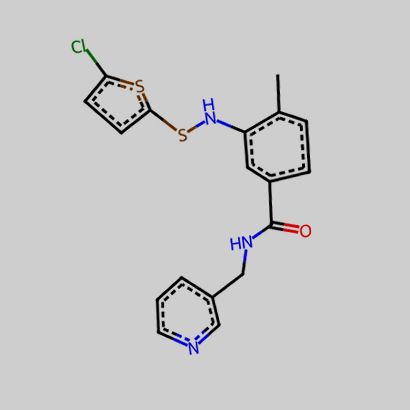 Cc1ccc(C(=O)NCc2cccnc2)cc1NSc1ccc(Cl)s1